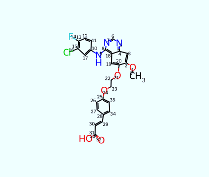 COc1cc2ncnc(Nc3ccc(F)c(Cl)c3)c2cc1OCCOc1ccc(C=CC(=O)O)cc1